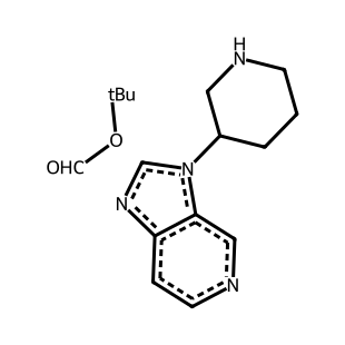 CC(C)(C)OC=O.c1cc2ncn(C3CCCNC3)c2cn1